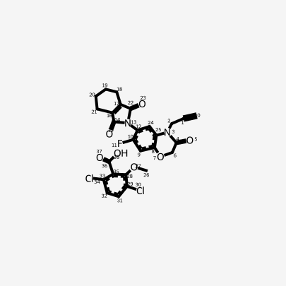 C#CCN1C(=O)COc2cc(F)c(N3C(=O)C4=C(CCCC4)C3=O)cc21.COc1c(Cl)ccc(Cl)c1C(=O)O